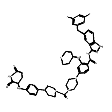 O=C1CCC(Nc2ccc(C3CCN(C(=O)N4CCN(c5ccc(C(=O)Nc6n[nH]c7ccc(Cc8cc(F)cc(F)c8)cc67)c(NC6CCOCC6)c5)CC4)CC3)cc2)C(=O)N1